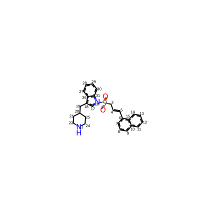 O=S(=O)(CC=Cc1cccc2ccccc12)n1cc(CC2CCNCC2)c2ccccc21